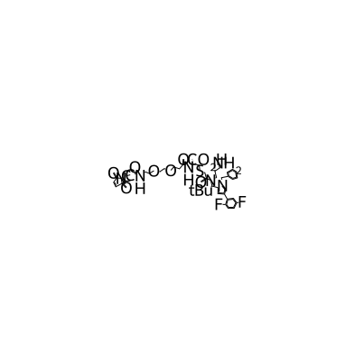 CC(C)(C)[C@H](c1cc(-c2cc(F)ccc2F)cn1Cc1ccccc1)N(CCCN)C(=O)CSC[C@H](NC(=O)CCOCCOCCNC(=O)CCN1C(=O)C=CC1=O)C(=O)O